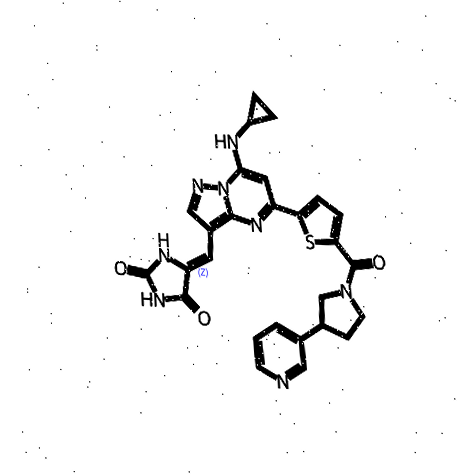 O=C1NC(=O)/C(=C/c2cnn3c(NC4CC4)cc(-c4ccc(C(=O)N5CCC(c6cccnc6)C5)s4)nc23)N1